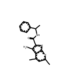 Cc1cc(C)c2c(N)c(C(=O)NC(C)c3ccccc3)sc2n1